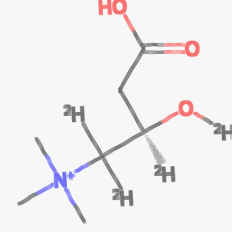 [2H]O[C@]([2H])(CC(=O)O)C([2H])([2H])[N+](C)(C)C